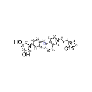 O=C1SCCN1CCC[n+]1ccc2c(c1)CCC/C2=C\c1ccc(N(CCO)CCO)cc1